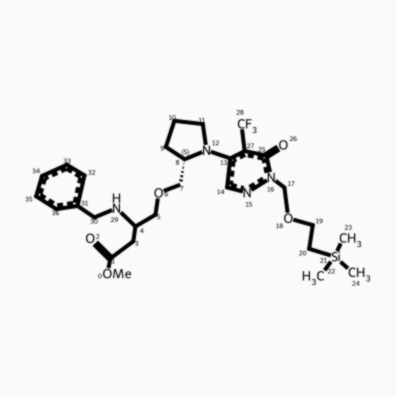 COC(=O)CC(COC[C@@H]1CCCN1c1cnn(COCC[Si](C)(C)C)c(=O)c1C(F)(F)F)NCc1ccccc1